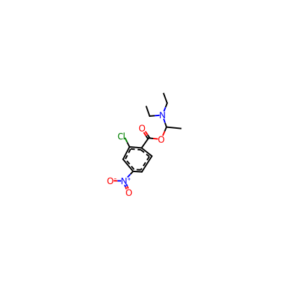 CCN(CC)C(C)OC(=O)c1ccc([N+](=O)[O-])cc1Cl